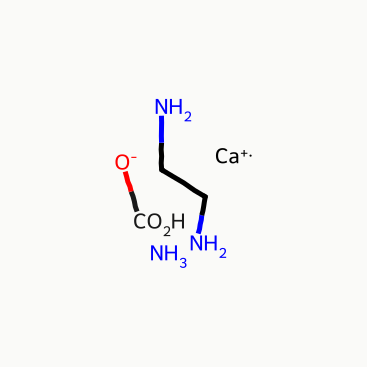 N.NCCN.O=C([O-])O.[Ca+]